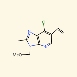 C=Cc1cnc2c(nc(C)n2COC)c1Cl